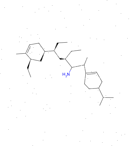 CC[C@@H]1C[C@H]([C@@H](CC)C[C@@H](CC)C(N)C(C)C2=CCC(C(C)C)CC2)CC=C1C